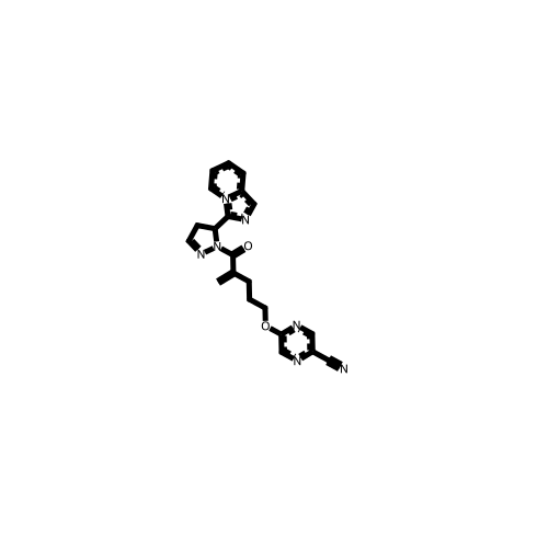 C=C(CCCOc1cnc(C#N)cn1)C(=O)N1N=CCC1c1ncc2ccccn12